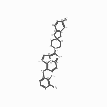 Clc1cccc(Sc2ccc3nc(N4CCC5(CC4)Cc4ccc(Br)cc4C5)c4cnc2n34)c1Cl